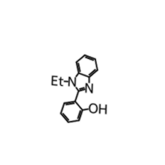 CCn1c(-c2ccccc2O)nc2ccccc21